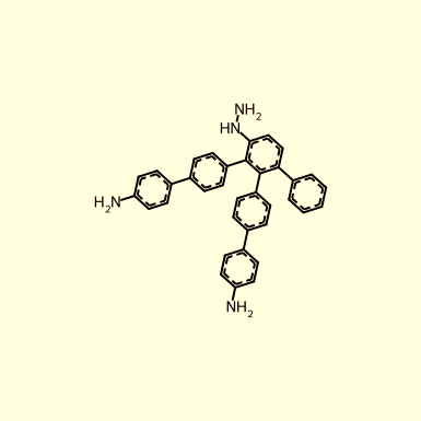 NNc1ccc(-c2ccccc2)c(-c2ccc(-c3ccc(N)cc3)cc2)c1-c1ccc(-c2ccc(N)cc2)cc1